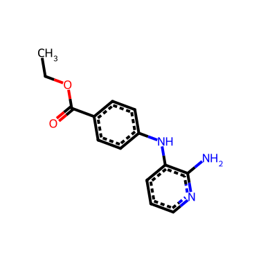 CCOC(=O)c1ccc(Nc2cccnc2N)cc1